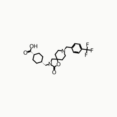 O=C1OC2(CCN(Cc3ccc(C(F)(F)F)cc3)CC2)CN1C[C@H]1CC[C@@H](C(=O)O)CC1